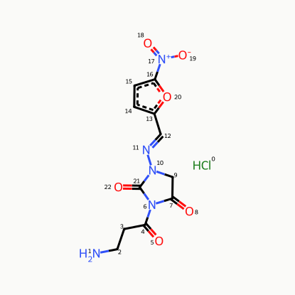 Cl.NCCC(=O)N1C(=O)CN(N=Cc2ccc([N+](=O)[O-])o2)C1=O